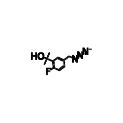 CC(C)(O)c1cc(CN=[N+]=[N-])ccc1F